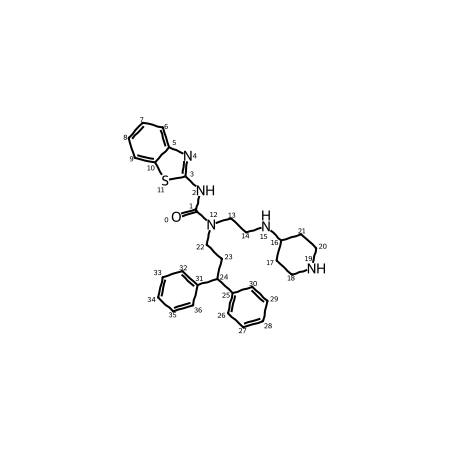 O=C(Nc1nc2ccccc2s1)N(CCNC1CCNCC1)CCC(c1ccccc1)c1ccccc1